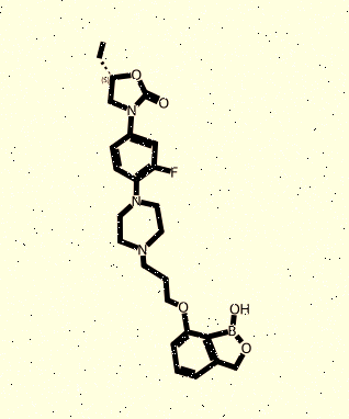 CC[C@H]1CN(c2ccc(N3CCN(CCCOc4cccc5c4B(O)OC5)CC3)c(F)c2)C(=O)O1